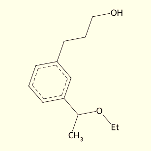 CCOC(C)c1cccc(CCCO)c1